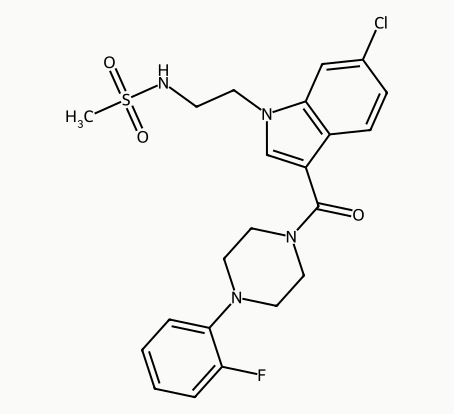 CS(=O)(=O)NCCn1cc(C(=O)N2CCN(c3ccccc3F)CC2)c2ccc(Cl)cc21